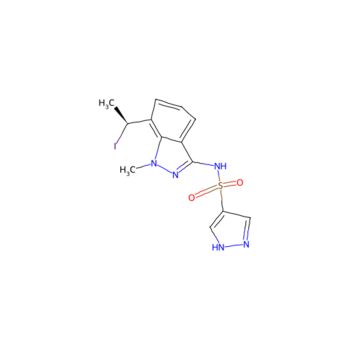 C[C@H](I)c1cccc2c(NS(=O)(=O)c3cn[nH]c3)nn(C)c12